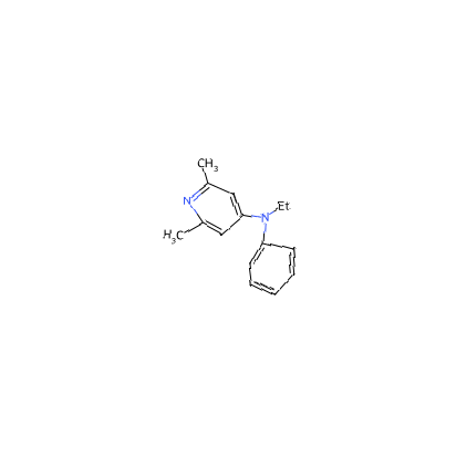 CCN(c1ccccc1)c1cc(C)nc(C)c1